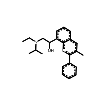 CCN(CC(O)c1cccc2cc(C)c(-c3ccccc3)nc12)C(C)C